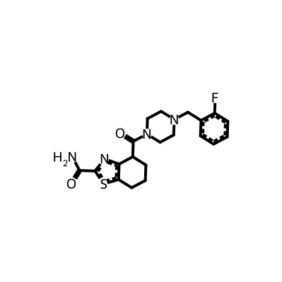 NC(=O)c1nc2c(s1)CCCC2C(=O)N1CCN(Cc2ccccc2F)CC1